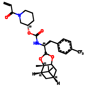 C=CC(=O)N1CCC[C@H](OC(=O)N[C@@H](Cc2ccc(C(F)(F)F)cc2)B2OC3C[C@@H]4C[C@@H](C4(C)C)[C@]3(C)O2)C1